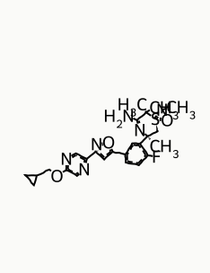 CN=[S@@]1(=O)C[C@@](C)(c2cc(-c3cc(-c4cnc(OCC5CC5)cn4)no3)ccc2F)N=C(N)C1(C)C